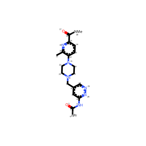 CCCC(=O)Nc1cc(CN2CCN(c3ccc(C(=O)NC)nc3C)CC2)cnn1